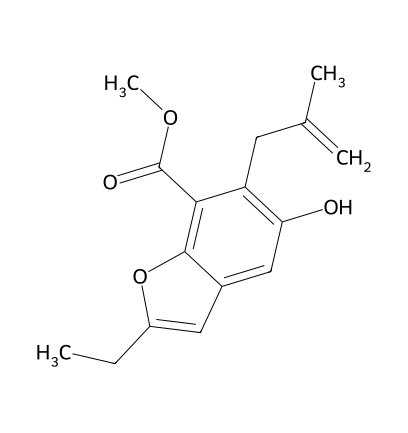 C=C(C)Cc1c(O)cc2cc(CC)oc2c1C(=O)OC